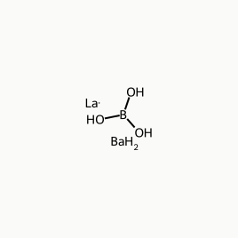 OB(O)O.[BaH2].[La]